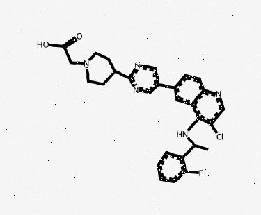 CC(Nc1c(Cl)cnc2ccc(-c3cnc(C4CCN(CC(=O)O)CC4)nc3)cc12)c1ccccc1F